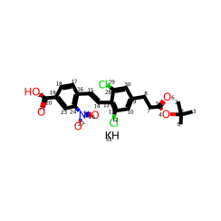 CC(C)(C)OC(=O)CCc1cc(Cl)c(C=Cc2ccc(C(=O)O)cc2[N+](=O)[O-])c(Cl)c1.[KH]